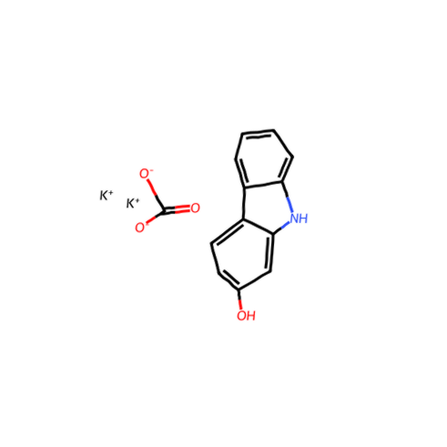 O=C([O-])[O-].Oc1ccc2c(c1)[nH]c1ccccc12.[K+].[K+]